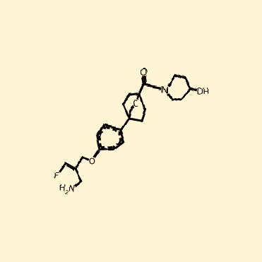 NC/C(=C\F)COc1ccc(C23CCC(C(=O)N4CCC(O)CC4)(CC2)CC3)cc1